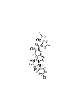 CC(Nc1ncnc2cc(C(=O)N3CCC[C@H]3C(=O)N(C)C)c(Cl)cc12)c1nc2cc(Cl)ccc2[nH]1